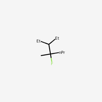 CCCC(C)(F)C(CC)CC